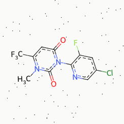 Cn1c(C(F)(F)F)cc(=O)n(-c2ncc(Cl)cc2F)c1=O